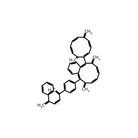 C=C(/C=C\C(=C)c1ccc(-c2c(=C)ccccc(=C)c(-c3cccc(=C)ccccc3=C)c3ccccc23)cc1)c1ccccc1